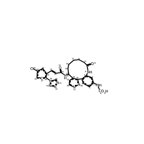 O=C(O)Nc1ccc2c(c1)NC(=O)CCCCCC(NC(=O)C=Cc1cc(Cl)ccc1-n1cnnn1)c1ccnnc1-2